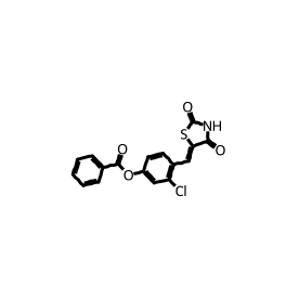 O=C1NC(=O)/C(=C/c2ccc(OC(=O)c3ccccc3)cc2Cl)S1